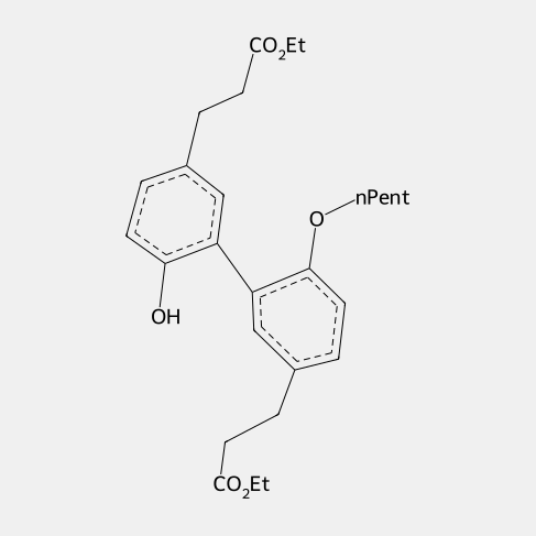 CCCCCOc1ccc(CCC(=O)OCC)cc1-c1cc(CCC(=O)OCC)ccc1O